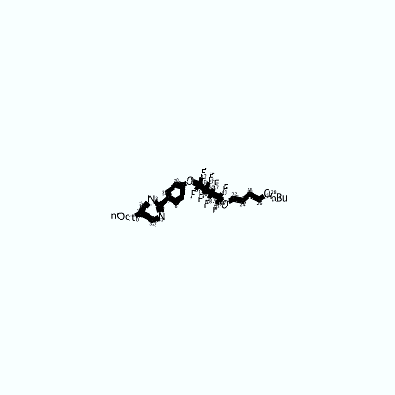 CCCCCCCCc1cnc(-c2ccc(OC(F)(F)C(F)(F)C(F)(F)C(F)(F)OCCCCOCCCC)cc2)nc1